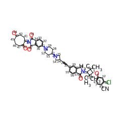 CC1(C)[C@H](Oc2ccc(C#N)c(Cl)c2)C(C)(C)[C@H]1N1Cc2cc(C#CC3CN(C4CCN(c5ccc6c(c5)C(=O)N(C5CCC(=O)CCCC5=O)C6=O)CC4)C3)ccc2C1=O